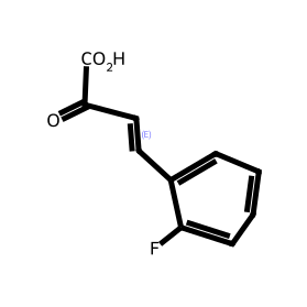 O=C(O)C(=O)/C=C/c1ccccc1F